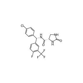 O=C1NC[C@@H](C(=O)N[C@@H](c2ccc(Cl)cc2)c2ccc(F)c(C(F)(F)F)c2)N1